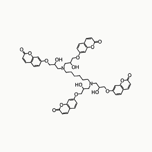 O=c1ccc2ccc(OCC(O)CN(CCCCCCN(CC(O)COc3ccc4ccc(=O)oc4c3)CC(O)COc3ccc4ccc(=O)oc4c3)CC(O)COc3ccc4ccc(=O)oc4c3)cc2o1